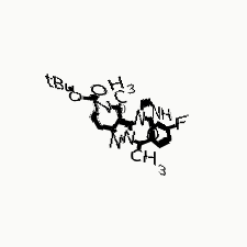 CC(c1ccc(F)cc1)n1nc2c(c1-n1cc[nH]c1=O)[C@H](C)N(C(=O)OC(C)(C)C)CC2